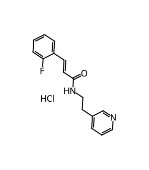 Cl.O=C(C=Cc1ccccc1F)NCCc1cccnc1